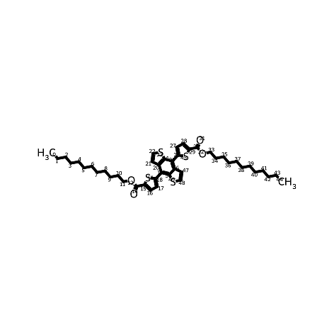 CCCCCCCCCCCCOC(=O)c1ccc(-c2c3ccsc3c(-c3ccc(C(=O)OCCCCCCCCCCCC)s3)c3ccsc23)s1